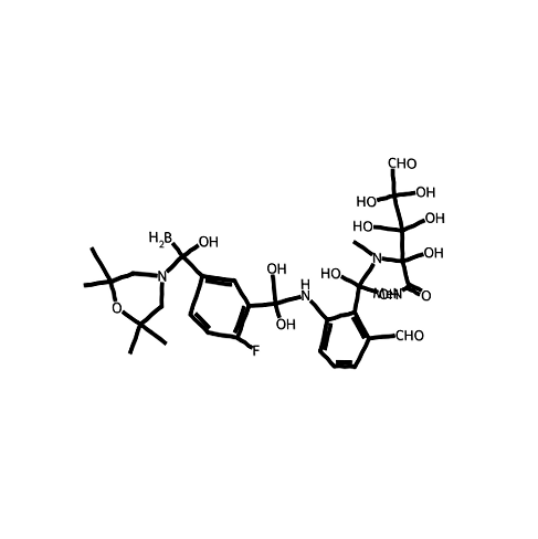 BC(O)(c1ccc(F)c(C(O)(O)Nc2cccc(C=O)c2C(O)(O)N(C)C(O)(C(=O)NC)C(O)(O)C(O)(O)C=O)c1)N1CC(C)(C)OC(C)(C)C1